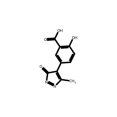 CC1=C(c2ccc(O)c(C(=O)O)c2)C(=O)N=N1